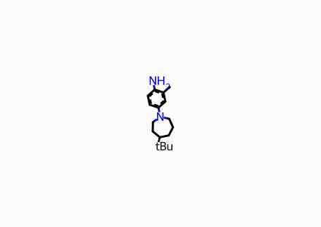 Cc1cc(N2CCCC(C(C)(C)C)CC2)ccc1N